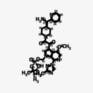 COc1cnc(-n2cnc(C)n2)c2c1c(C(=O)C(=O)N1CCC(=C(N)c3ccccn3)CC1)cn2COP(=O)(O)OC(C)(C)C